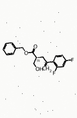 C=C(C[C@@H](CO)C(=O)OCc1ccccc1)c1ccc(F)cc1F